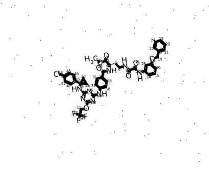 COC(=O)[C@H](CCNC(=O)C(=O)Nc1cccc(OCc2ccccc2)c1)NC(=O)c1ccc(Nc2nc(NC3(c4ccc(Cl)cc4)CC3)nc(OCC(F)(F)F)n2)cc1